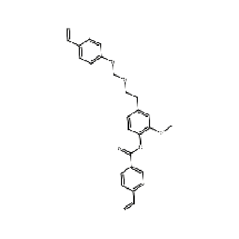 C=Cc1ccc(OCOCCc2ccc(OC(=O)c3ccc(C=C)cc3)c(OC)c2)cc1